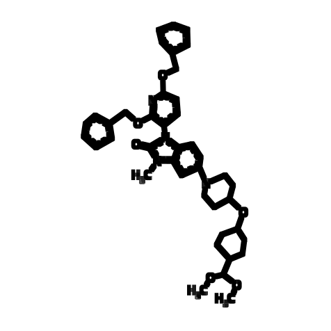 COC(OC)C1CCC(OC2CCN(c3ccc4c(c3)n(C)c(=O)n4-c3ccc(OCc4ccccc4)nc3OCc3ccccc3)CC2)CC1